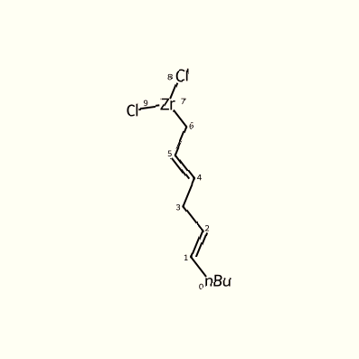 CCCC/C=C/C/C=C/[CH2][Zr]([Cl])[Cl]